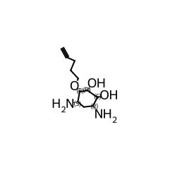 C#CCCCO[C@H]1[C@H](O)[C@@H](O)[C@H](N)C[C@@H]1N